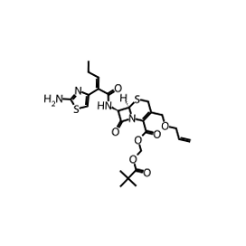 C=CCOCC1=C(C(=O)OCOC(=O)C(C)(C)C)N2C(=O)[C@@H](NC(=O)/C(=C/CC)c3csc(N)n3)[C@H]2SC1